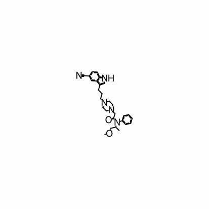 COCC(C)N(C(=O)CN1CCN(CCCc2c[nH]c3ccc(C#N)cc23)CC1)c1ccccc1